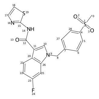 CS(=O)(=O)c1ccc(Cn2cc(C(=O)Nc3nccs3)c3ccc(F)cc32)cc1